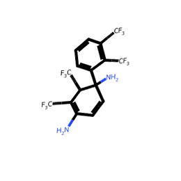 NC1=C(C(F)(F)F)C(C(F)(F)F)C(N)(c2cccc(C(F)(F)F)c2C(F)(F)F)C=C1